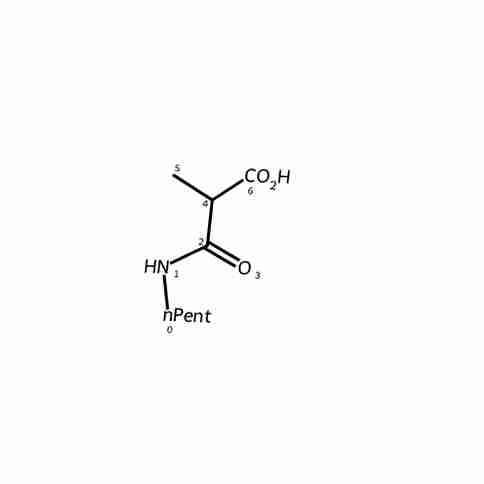 CCCCCNC(=O)C(C)C(=O)O